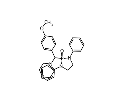 COc1ccc(C(N2CCOCC2)P2(=O)N(c3ccccc3)CCN2c2ccccc2)cc1